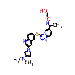 CC(=NOCCO)c1ccc2nnc(Sc3ccc4ncc(N5CCC(N(C)C)C5)cc4c3)n2c1